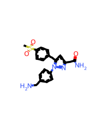 CS(=O)(=O)c1ccc(-c2cc(C(N)=O)nn2-c2ccc(CN)cc2)cc1